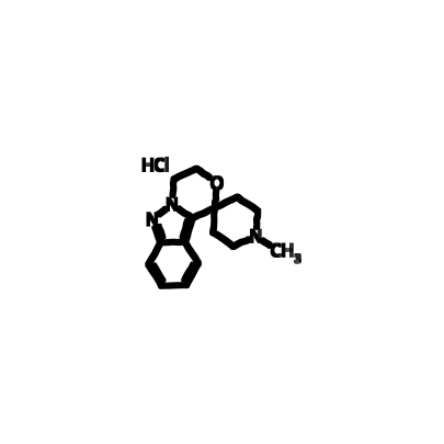 CN1CCC2(CC1)OCCn1nc3ccccc3c12.Cl